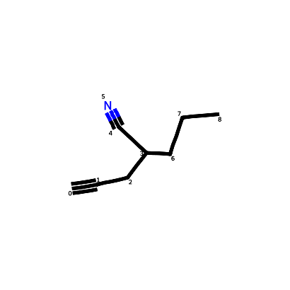 C#CCC(C#N)CCC